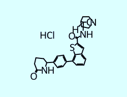 Cl.O=C1CCCC(c2ccc(-c3cccc4cc(C(=O)N[C@H]5CN6CCC5CC6)sc34)cc2)N1